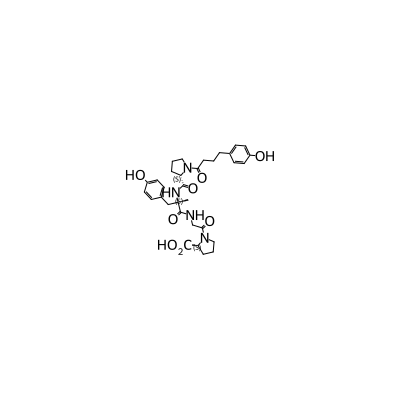 C[C@@](Cc1ccc(O)cc1)(NC(=O)[C@@H]1CCCN1C(=O)CCCc1ccc(O)cc1)C(=O)NCC(=O)N1CCC[C@H]1C(=O)O